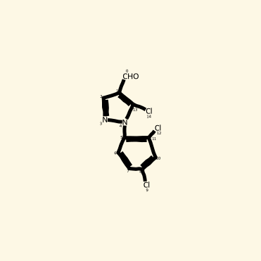 O=Cc1cnn(-c2ccc(Cl)cc2Cl)c1Cl